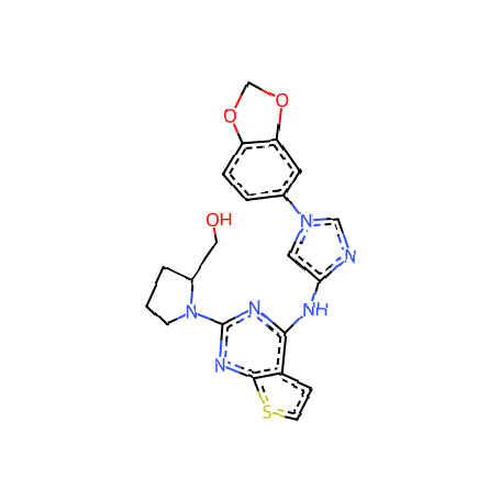 OCC1CCCN1c1nc(Nc2cn(-c3ccc4c(c3)OCO4)cn2)c2ccsc2n1